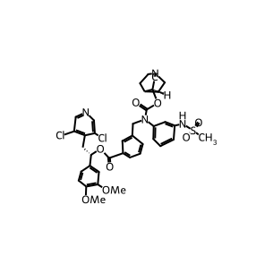 COc1ccc([C@H](Cc2c(Cl)cncc2Cl)OC(=O)c2cccc(CN(C(=O)O[C@H]3CN4CCC3CC4)c3cccc(NS(C)(=O)=O)c3)c2)cc1OC